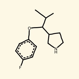 CC(C)C(Oc1ccc(F)cc1)C1CCNC1